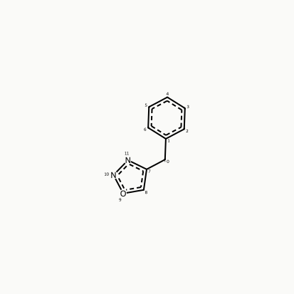 [CH](c1ccccc1)c1conn1